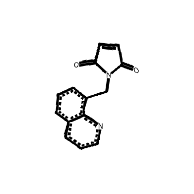 O=C1C=CC(=O)N1Cc1cccc2cccnc12